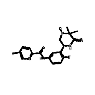 CC1(C)C(=N)NC(c2cc(NC(=O)c3ccc(F)cn3)ccc2F)C[S+]1[O-]